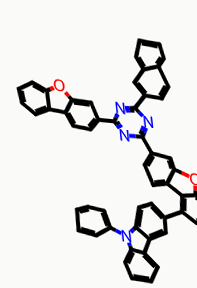 c1ccc(-n2c3ccccc3c3cc(-c4cccc5oc6cc(-c7nc(-c8ccc9ccccc9c8)nc(-c8ccc9c(c8)oc8ccccc89)n7)ccc6c45)ccc32)cc1